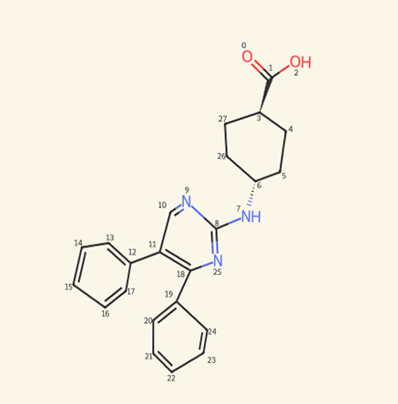 O=C(O)[C@H]1CC[C@H](Nc2ncc(-c3ccccc3)c(-c3ccccc3)n2)CC1